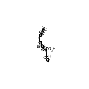 Cc1ccc(C(=O)NCCCCC(NS(=O)(=O)c2cnc(N3CCC(CCCC4CCN(S(=O)(=O)c5cc(Br)c(Cl)s5)CC4)CC3)c(Br)c2)C(=O)O)cc1